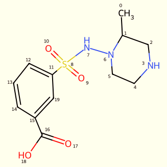 CC1CNCCN1NS(=O)(=O)c1cccc(C(=O)O)c1